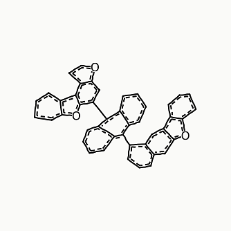 c1cc(-c2c3ccccc3c(-c3cc4occc4c4c3oc3ccccc34)c3ccccc23)c2cc3c(cc2c1)oc1ccccc13